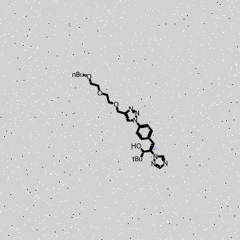 CCCCOCCOCCOCc1cn(-c2ccc(/C=C(\C(O)C(C)(C)C)n3cncn3)cc2)nn1